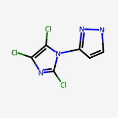 Clc1nc(Cl)n(C2=N[N]C=C2)c1Cl